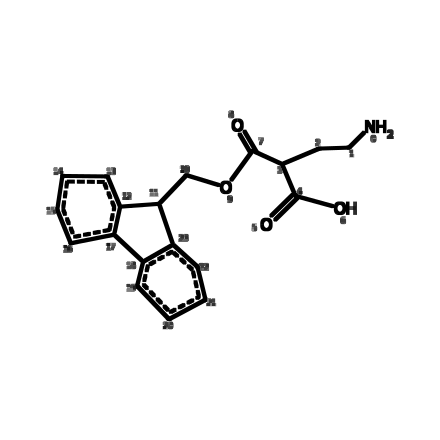 NCCC(C(=O)O)C(=O)OCC1c2ccccc2-c2ccccc21